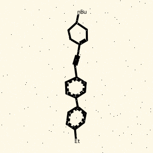 CCCCC1CC=C(C#Cc2ccc(-c3ccc(CC)cc3)cc2)CC1